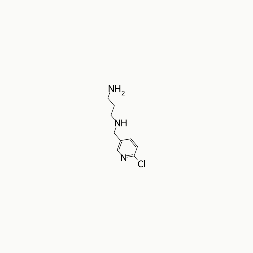 NCCCNCc1ccc(Cl)nc1